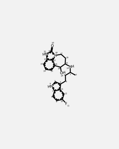 CC(CCc1c[nH]c2ccc(F)cc12)NC1CCn2c(=O)[nH]c3cccc(c32)C1O